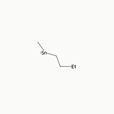 CCC[CH2][Sn][CH3]